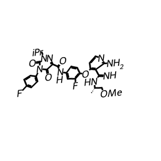 COC[C@H](C)NC(=N)c1c(Oc2ccc(NC(=O)c3nn(C(C)C)c(=O)n(-c4ccc(F)cc4)c3=O)cc2F)ccnc1N